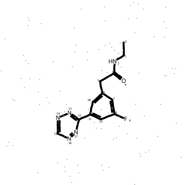 CCNC(=O)Cc1cc(F)cc(-c2nncnn2)c1